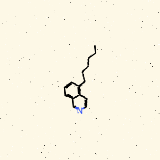 CCCCCCc1cccc2cnccc12